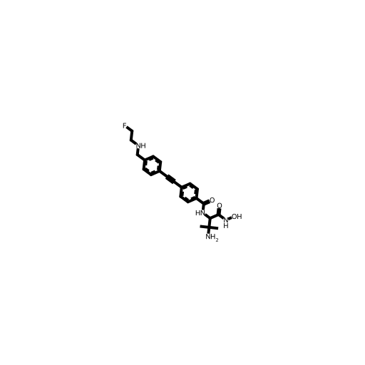 CC(C)(N)C(NC(=O)c1ccc(C#Cc2ccc(CNCCF)cc2)cc1)C(=O)NO